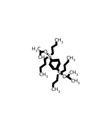 CCCC[Si](CCCC)(OC(C)C)c1ccc([Si](CCCC)(CCCC)OC(C)C)cc1